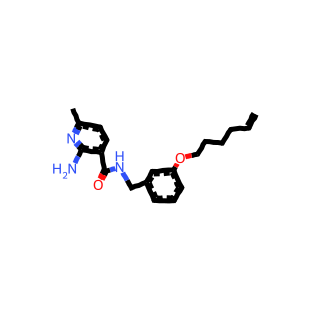 C=CCCCCOc1cccc(CNC(=O)c2ccc(C)nc2N)c1